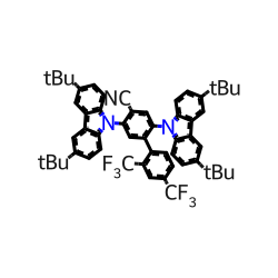 CC(C)(C)c1ccc2c(c1)c1cc(C(C)(C)C)ccc1n2-c1cc(-c2ccc(C(F)(F)F)cc2C(F)(F)F)c(-n2c3ccc(C(C)(C)C)cc3c3cc(C(C)(C)C)ccc32)cc1C#N